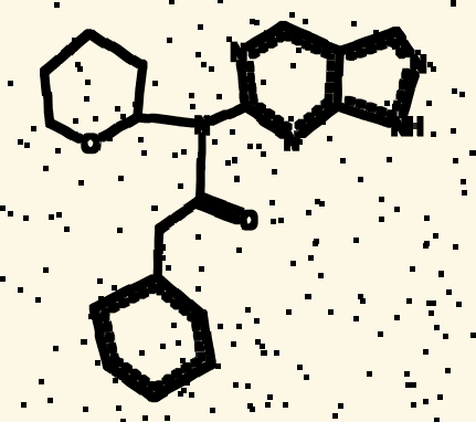 O=C(Cc1ccccc1)N(c1ncc2cn[nH]c2n1)C1CCCCO1